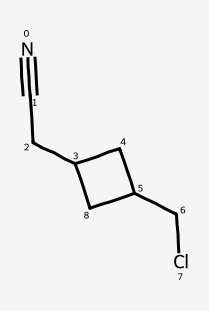 N#CCC1CC(CCl)C1